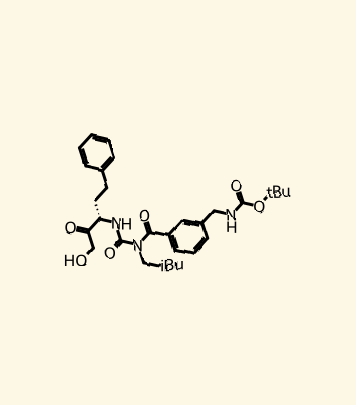 CCC(C)CN(C(=O)N[C@@H](CCc1ccccc1)C(=O)CO)C(=O)c1cccc(CNC(=O)OC(C)(C)C)c1